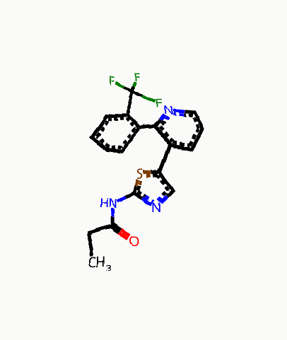 CCC(=O)Nc1ncc(-c2cccnc2-c2ccccc2C(F)(F)F)s1